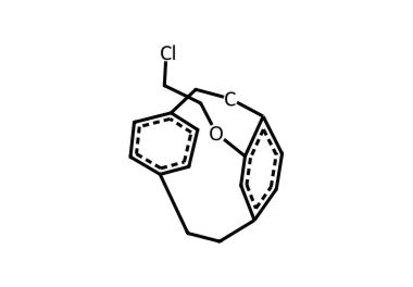 ClCCOc1cc2ccc1CCc1ccc(cc1)CC2